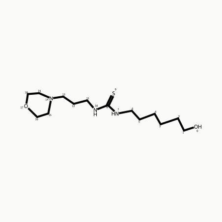 OCCCCCCNC(=S)NCCCN1CCOCC1